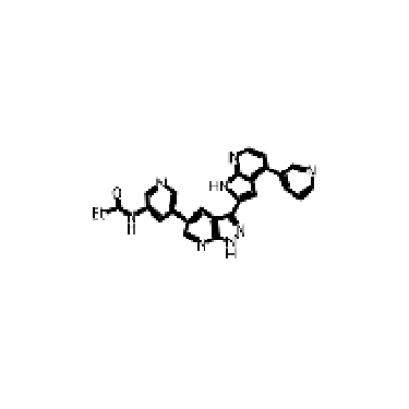 CCC(=O)Nc1cncc(-c2cnc3[nH]nc(-c4cc5c(-c6cccnc6)ccnc5[nH]4)c3c2)c1